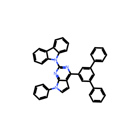 c1ccc(-c2cc(-c3ccccc3)cc(-c3nc(-n4c5ccccc5c5ccccc54)nc4c3ccn4-c3ccccc3)c2)cc1